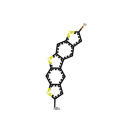 CCCCc1cc2cc3c(cc2s1)sc1cc2sc(Br)cc2cc13